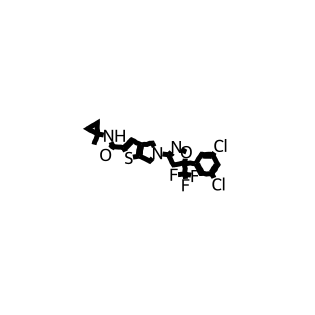 CC1(NC(=O)c2cc3c(s2)CN(C2=NOC(c4cc(Cl)cc(Cl)c4)(C(F)(F)F)C2)C3)CC1